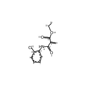 C=C(C(=O)Nc1ccccc1Cl)C(=O)OCC